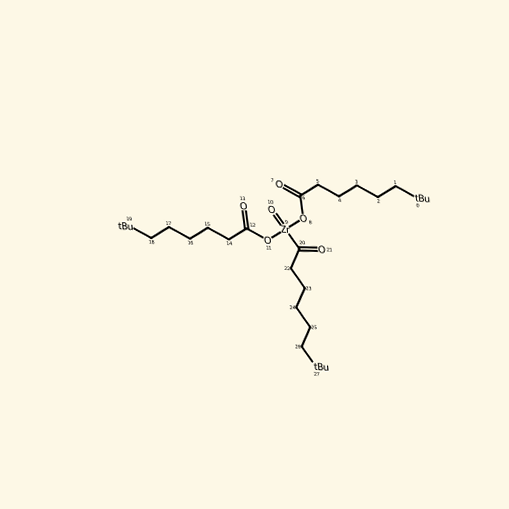 CC(C)(C)CCCCCC(=O)[O][Zr](=[O])([O]C(=O)CCCCCC(C)(C)C)[C](=O)CCCCCC(C)(C)C